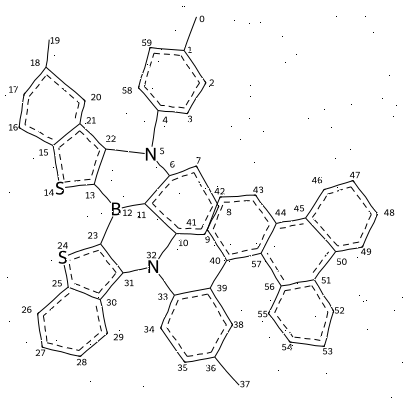 Cc1ccc(N2c3cccc4c3B(c3sc5ccc(C)cc5c32)c2sc3ccccc3c2N4c2ccc(C)cc2-c2cccc3c4ccccc4c4ccccc4c23)cc1